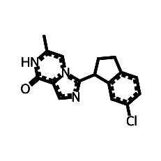 Cc1cn2c(C3CCc4ccc(Cl)cc43)ncc2c(=O)[nH]1